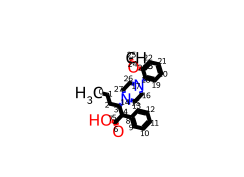 CCCC(C(C(=O)O)c1ccccc1)N1CCN(c2ccccc2OC)CC1